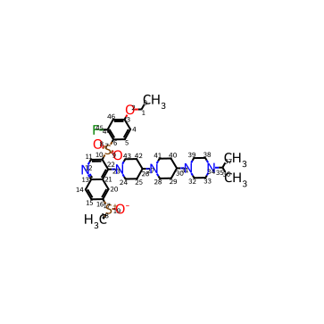 CCOc1ccc(S(=O)(=O)c2cnc3ccc([S+](C)[O-])cc3c2N2CCC(N3CCC(N4CCN(C(C)C)CC4)CC3)CC2)c(F)c1